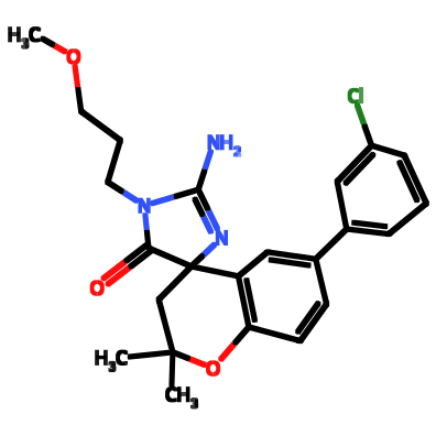 COCCCN1C(=O)C2(CC(C)(C)Oc3ccc(-c4cccc(Cl)c4)cc32)N=C1N